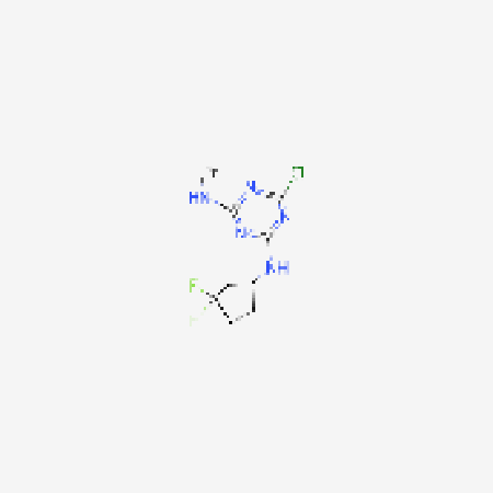 CC(C)Nc1nc(Cl)nc(NC2CCC(F)(F)C2)n1